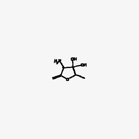 C=C1OC(C)C(O)(O)[C]1N